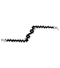 CCCCCCCCCCCCCCCCc1ccc(-c2ccc(/C=C/c3ccc(-c4ccc(CCCCCCCCCCCCCCCC)s4)cc3)cc2)s1